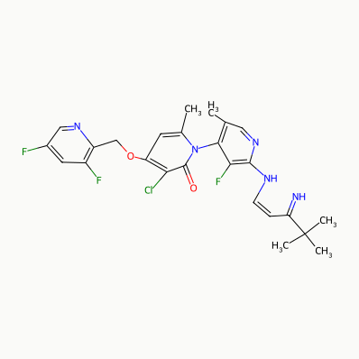 Cc1cnc(N/C=C\C(=N)C(C)(C)C)c(F)c1-n1c(C)cc(OCc2ncc(F)cc2F)c(Cl)c1=O